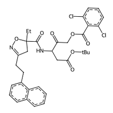 CCC1(C(=O)NC(CC(=O)OC(C)(C)C)C(=O)COC(=O)c2c(Cl)cccc2Cl)CC(CCc2cccc3ccccc23)=NO1